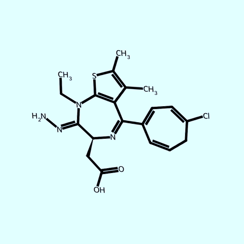 CCN1/C(=N\N)[C@H](CC(=O)O)N=C(C2=CC=C(Cl)CC=C2)c2c1sc(C)c2C